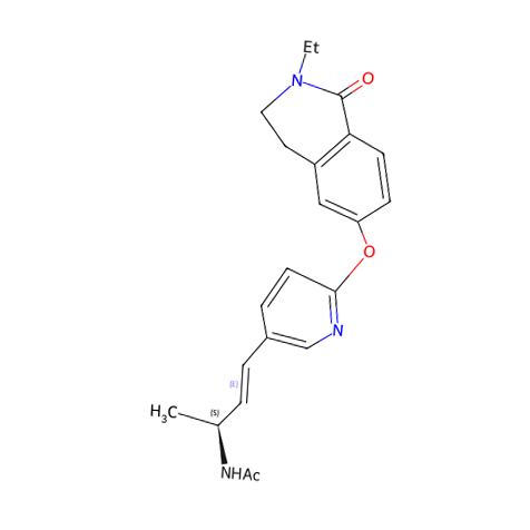 CCN1CCc2cc(Oc3ccc(/C=C/[C@H](C)NC(C)=O)cn3)ccc2C1=O